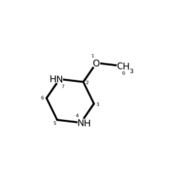 COC1CNCCN1